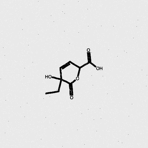 CCC1(O)C=CC(C(=O)O)OC1=O